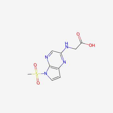 CS(=O)(=O)n1ccc2nc(NCC(=O)O)cnc21